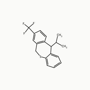 CC(C)C1c2ccc(C(F)(F)F)cc2CSc2ccccc21